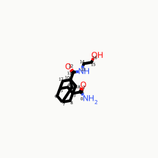 NC(=O)C12[CH]C3CC(C1)CC(C(=O)NCCO)(C3)C2